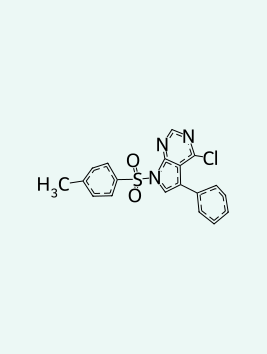 Cc1ccc(S(=O)(=O)n2cc(-c3ccccc3)c3c(Cl)ncnc32)cc1